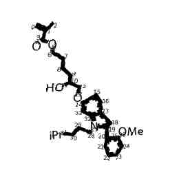 C=C(C)C(=O)OCCCCC(O)COc1ccc2cc(-c3ccccc3OC)n(CCCC(C)C)c2c1